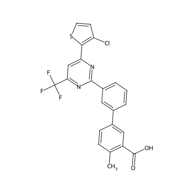 Cc1ccc(-c2cccc(-c3nc(-c4sccc4Cl)cc(C(F)(F)F)n3)c2)cc1C(=O)O